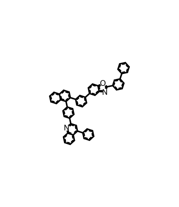 c1ccc(-c2cccc(-c3nc4cc(-c5cccc(-c6ccc7ccccc7c6-c6ccc(-c7cc(-c8ccccc8)c8ccccc8n7)cc6)c5)ccc4o3)c2)cc1